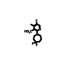 Cc1c(F)cnc(N2CCCC(F)(F)CC2)c1C(=O)O